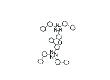 c1ccc(-c2cccc(-c3nc(-c4cccc(-c5ccccc5)c4)nc(-c4ccc5c(c4)-c4ccccc4-c4cc(-c6nc(-c7cccc(-c8ccccc8)c7)nc(-c7cccc(-c8ccccc8)c7)n6)ccc4O5)n3)c2)cc1